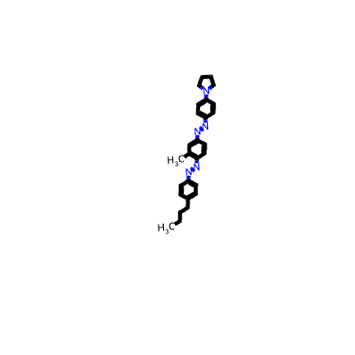 CCCCc1ccc(/N=N/c2ccc(/N=N/c3ccc(N4CCCC4)cc3)cc2C)cc1